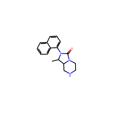 CC1C2CNCCN2C(=O)N1c1cccc2ccccc12